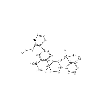 CCOc1ncccc1-c1ccc2c(n1)C(=O)NCC21CCN(c2cncc(Cl)c2C(F)(F)F)CC1